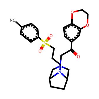 N#Cc1ccc(S(=O)(=O)CCCN2C3CCC2CN(CC(=O)c2ccc4c(c2)OCCO4)C3)cc1